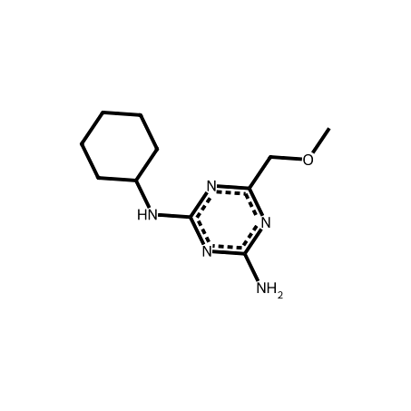 COCc1nc(N)nc(NC2CCCCC2)n1